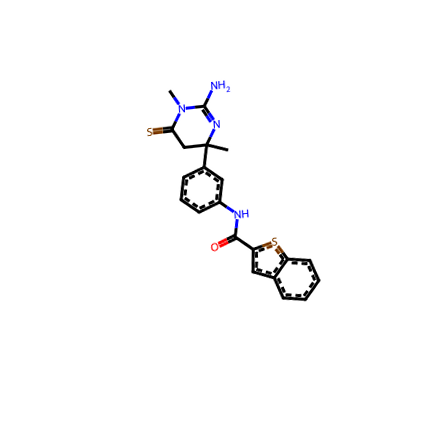 CN1C(=S)CC(C)(c2cccc(NC(=O)c3cc4ccccc4s3)c2)N=C1N